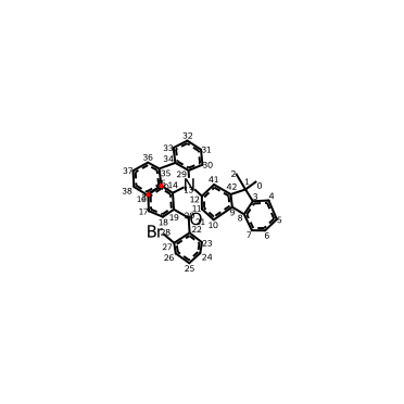 CC1(C)c2ccccc2-c2ccc(N(c3ccccc3C(=O)c3ccccc3Br)c3ccccc3-c3ccccc3)cc21